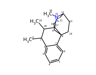 CC1c2ccccc2C23CCCC(CC2)N(C)C3C1C